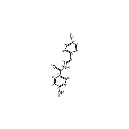 O=C(NN=Cc1ccc(Cl)cc1)c1ccc(O)cc1